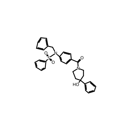 O=C(c1ccc(N(Cc2ccccc2)S(=O)(=O)c2ccccc2)cc1)N1CCC(O)(c2ccccc2)CC1